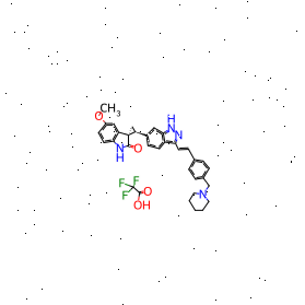 COc1ccc2c(c1)[C@]1(C[C@H]1c1ccc3c(/C=C/c4ccc(CN5CCCCC5)cc4)n[nH]c3c1)C(=O)N2.O=C(O)C(F)(F)F